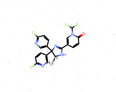 C[C@@H]1NC(c2ccc(=O)n(C(F)F)c2)=NC1(c1ccc(F)nc1)c1ccc(F)nc1